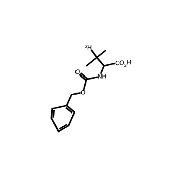 [2H]C(C)(C)C(NC(=O)OCc1ccccc1)C(=O)O